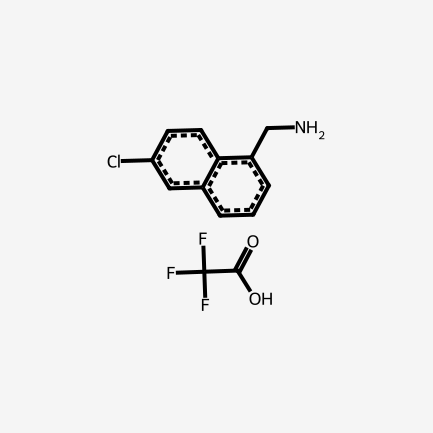 NCc1cccc2cc(Cl)ccc12.O=C(O)C(F)(F)F